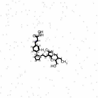 CCC(CCO)Cn1nc(C)c(CCN2CCC[C@H]2c2ccc(/C=C/C(=O)NO)cc2)c1C